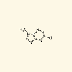 Cn1cnc2nc(Cl)cnc21